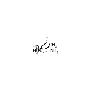 CC(=O)O.CC(=O)O.N.N